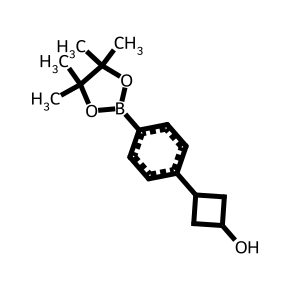 CC1(C)OB(c2ccc(C3CC(O)C3)cc2)OC1(C)C